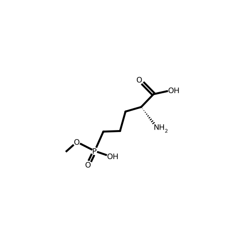 COP(=O)(O)CCC[C@@H](N)C(=O)O